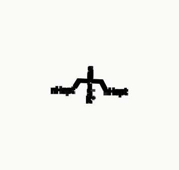 CCCCCCCCP(=S)([S-])CCCCCCCC.[K+]